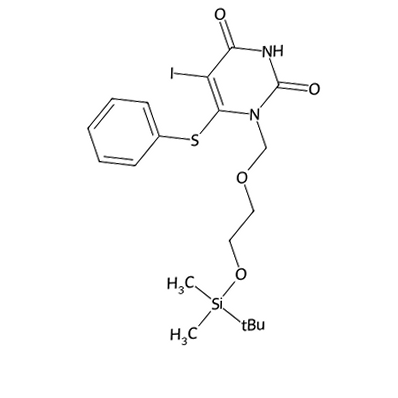 CC(C)(C)[Si](C)(C)OCCOCn1c(Sc2ccccc2)c(I)c(=O)[nH]c1=O